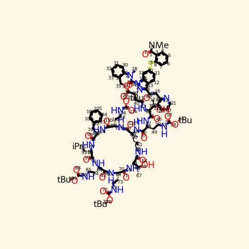 CNC(=O)c1ccccc1Sc1ccc2c(/C=C/c3ccccn3)nn(C(=O)N(C)c3ccccc3COC(=O)CCC(=O)N[C@H](C(=O)N[C@@H](CCNC(=O)OC(C)(C)C)C(=O)N[C@H]3CCNC(=O)[C@H]([C@@H](C)O)NC(=O)[C@H](CCNC(=O)OC(C)(C)C)NC(=O)[C@H](CCNC(=O)OC(C)(C)C)NC(=O)[C@H](CC(C)C)NC(=O)[C@@H](Cc4ccccc4)NC(=O)[C@H](CCNC(=O)OC(C)(C)C)NC3=O)[C@@H](C)O)c2c1